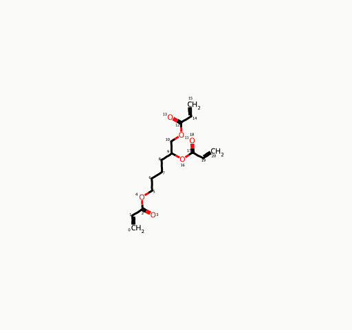 C=CC(=O)OCCCCC(COC(=O)C=C)OC(=O)C=C